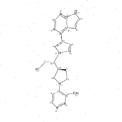 N#CC[C@@H]([C@H]1CCN(c2ccnnc2C#N)C1)n1cc(-c2ncnc3[nH]ccc23)cn1